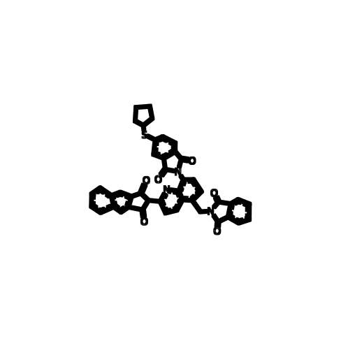 O=C1c2cc3ccccc3cc2C(=O)C1c1ccc2c(CN3C(=O)c4ccccc4C3=O)ccc(N3C(=O)c4ccc(SC5CCCC5)cc4C3=O)c2n1